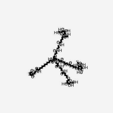 CC(=O)N[C@H]1[C@H](OCCCCC(=O)NCCCNC(=O)CCOCC(COCCC(=O)NCCCNC(=O)CCCCO[C@H]2C[C@@H](O)[C@@H](O)[C@@H](CO)O2)(COCCC(=O)NCCCNC(=O)CCCCO[C@@H]2O[C@H](CO)[C@H](O)[C@H](O)[C@H]2NC(C)=O)NC(=O)CCCCCCCCCCC(=O)NCCN2C(=O)C=CC2=O)O[C@H](CO)[C@H](O)[C@@H]1O